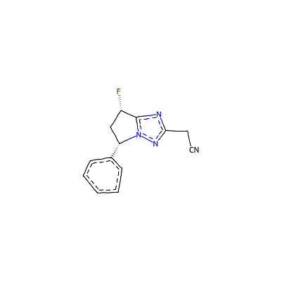 N#CCc1nc2n(n1)[C@H](c1ccccc1)C[C@@H]2F